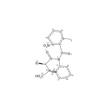 CC[C@@H](C(=O)N(C(=O)c1c(C)cccc1[N+](=O)[O-])c1ccccc1)N(C(=O)O)C(C)(C)C